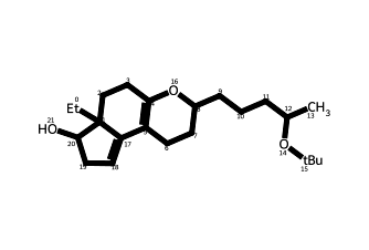 CCC12CCC3=C(CCC(CCCC(C)OC(C)(C)C)O3)C1=CCC2O